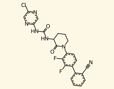 N#Cc1ccccc1-c1ccc(N2CCCC(NC(=O)Nc3cnc(Cl)cn3)C2=O)c(F)c1F